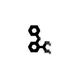 CC(C)c1ccccc1Oc1cc[c]cc1